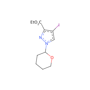 CCOC(=O)c1nn(C2CCCCO2)cc1I